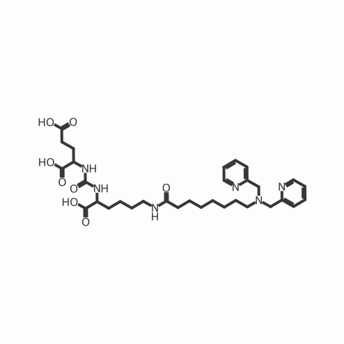 O=C(O)CCC(NC(=O)NC(CCCCNC(=O)CCCCCCCN(Cc1ccccn1)Cc1ccccn1)C(=O)O)C(=O)O